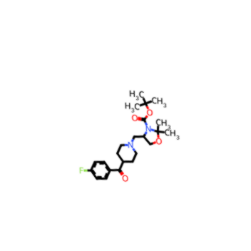 CC(C)(C)OC(=O)N1C(CN2CCC(C(=O)c3ccc(F)cc3)CC2)COC1(C)C